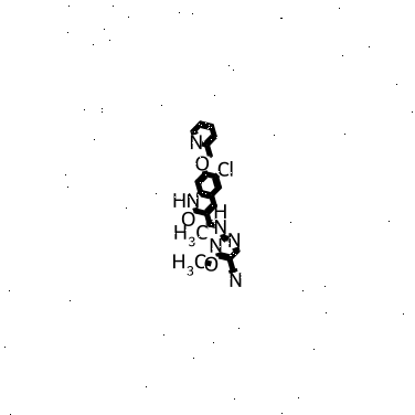 COc1nc(N[C@@H](C)c2cc3cc(Cl)c(OCc4ccccn4)cc3[nH]c2=O)ncc1C#N